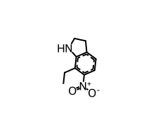 CCc1c([N+](=O)[O-])ccc2c1NCC2